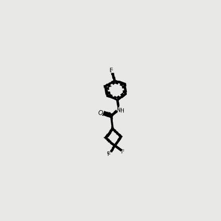 O=C(Nc1ccc(F)cc1)C1CC(F)(F)C1